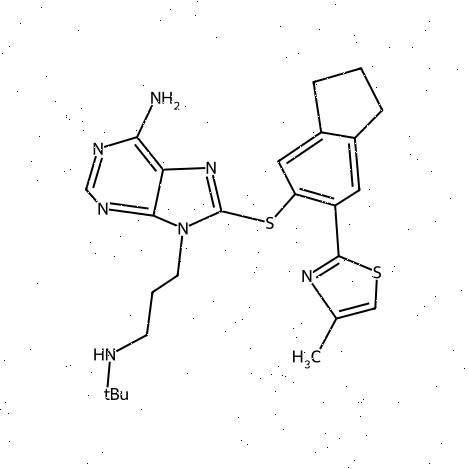 Cc1csc(-c2cc3c(cc2Sc2nc4c(N)ncnc4n2CCCNC(C)(C)C)CCC3)n1